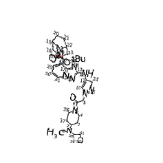 CN(C1CCN(C(=O)Cn2cc(Nc3nc4c(N5CC6CCC(C5)N6C(=O)OC(C)(C)C)cccn4n3)cn2)CC1)C1COC1